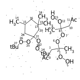 CC(=O)CC(C)(OO)OOC(C)(CC(C)=O)OO.CC1CC(C)(C)CC(OOC(C)(C)C)(OOC(C)(C)C)C1